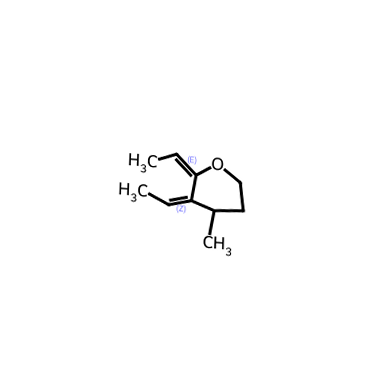 C/C=C1\C(=C/C)OCCC1C